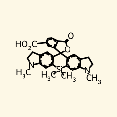 CN1CCc2cc3c(cc21)[Si](C)(C)c1cc2c(cc1C31OC(=O)c3ccc(C(=O)O)cc31)CCN2C